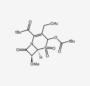 CO[C@H]1C(=O)N2C(C(=O)C(C)(C)C)=C(COC(C)=O)C(OC(=O)C(C)(C)C)S(=O)(=O)[C@@H]12